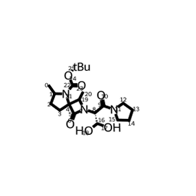 CC1CCC2(C(=O)N([C@H](C(=O)N3CCCC3)C(O)O)C2C)N1C(=O)OC(C)(C)C